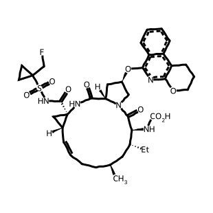 CC[C@@H]1C[C@@H](C)CCC=C[C@@H]2C[C@@]2(C(=O)NS(=O)(=O)C2(CF)CC2)NC(=O)[C@@H]2C[C@@H](Oc3nc4c(c5ccccc35)CCCO4)CN2C(=O)[C@H]1NC(=O)O